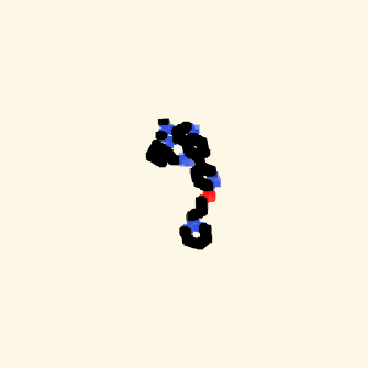 CN1CN2c3c1cnc1ccc(-c4ccc(OCCCN5CCCCC5)nc4)c(c31)NCC21CCC1